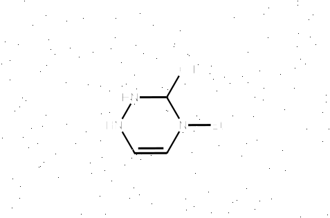 CCN1C=CNNC1C